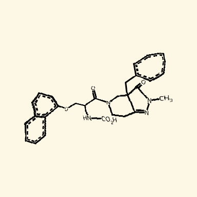 CN1N=C2CCN(C(=O)C(COc3cccc4ccccc34)NC(=O)O)CC2(Cc2ccccc2)C1=O